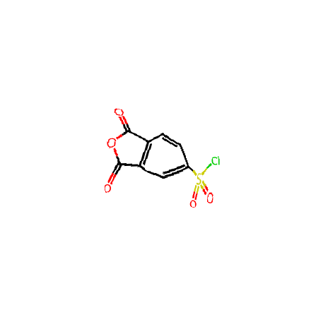 O=C1OC(=O)c2cc(S(=O)(=O)Cl)ccc21